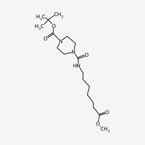 COC(=O)CCCCCCNC(=O)N1CCN(C(=O)OC(C)(C)C)CC1